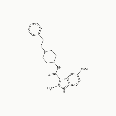 COc1ccc2[nH]c(C)c(C(=O)NC3CCN(CCc4ccccc4)CC3)c2c1